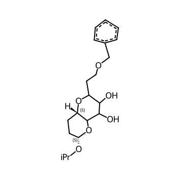 CC(C)O[C@@H]1CC[C@@H]2OC(CCOCc3ccccc3)C(O)C(O)C2O1